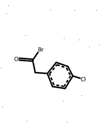 O=C(Br)Cc1ccc(Cl)cc1